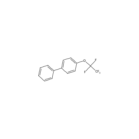 FC(F)(F)C(F)(F)Oc1ccc(-c2ccccc2)cc1